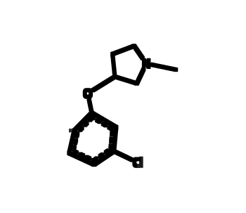 CN1CCC(Oc2[c]ccc(Cl)c2)C1